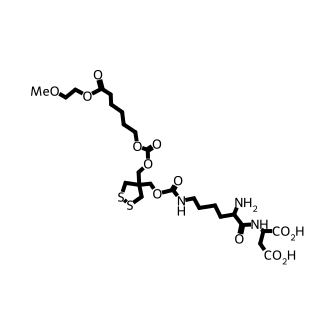 COCCOC(=O)CCCCCOC(=O)OCC1(COC(=O)NCCCCC(N)C(=O)NC(CC(=O)O)C(=O)O)CSSC1